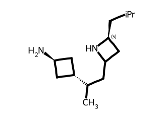 CC(C)C[C@H]1CC(CC(C)[C@H]2C[C@H](N)C2)N1